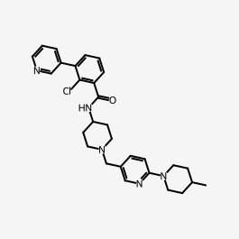 CC1CCN(c2ccc(CN3CCC(NC(=O)c4cccc(-c5cccnc5)c4Cl)CC3)cn2)CC1